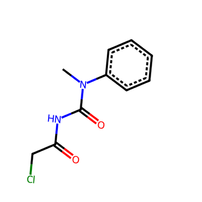 CN(C(=O)NC(=O)CCl)c1ccccc1